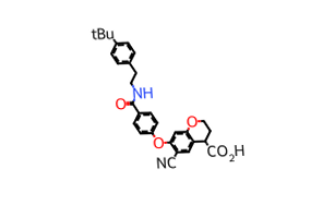 CC(C)(C)c1ccc(CCNC(=O)c2ccc(Oc3cc4c(cc3C#N)C(C(=O)O)CCO4)cc2)cc1